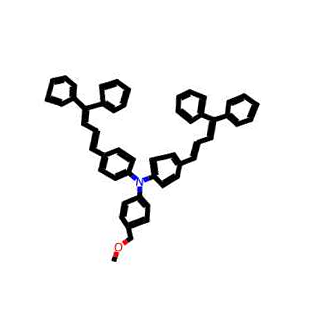 COCc1ccc(N(c2ccc(/C=C/C=C(c3ccccc3)c3ccccc3)cc2)c2ccc(/C=C/C=C(c3ccccc3)c3ccccc3)cc2)cc1